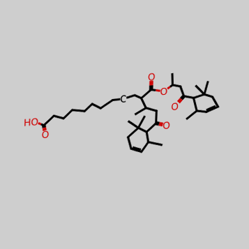 CC(CC(=O)C1C(C)C=CCC1(C)C)OC(=O)C(CCCCCCCCCC(=O)O)C(C)CC(=O)C1C(C)C=CCC1(C)C